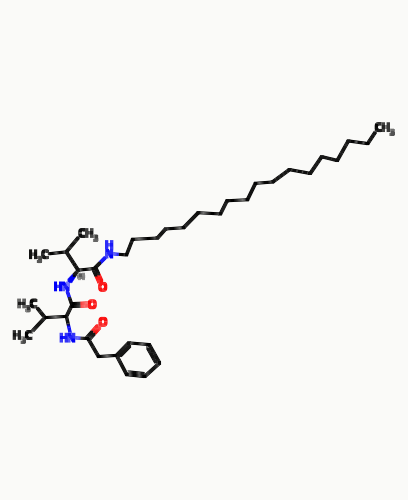 CCCCCCCCCCCCCCCCCCNC(=O)[C@@H](NC(=O)C(NC(=O)Cc1ccccc1)C(C)C)C(C)C